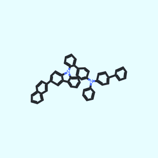 c1ccc(-c2ccc(N(c3ccccc3)c3ccc(-c4ccccc4-n4c5ccccc5c5cc(-c6ccc7ccccc7c6)ccc54)cc3)cc2)cc1